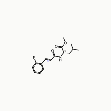 COC(=O)[C@H](CC(C)C)NC(=O)/C=C/c1ccccc1F